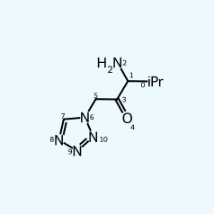 CC(C)C(N)C(=O)Cn1cnnn1